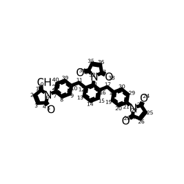 C=C1C=CC(=O)N1c1ccc(Cc2cccc(Cc3ccc(N4C(=O)C=CC4=O)cc3)c2N2C(=O)C=CC2=O)cc1